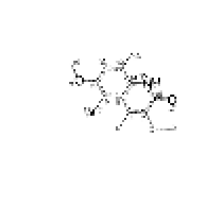 CCc1c(C)c2c(Br)c(OC)cc(C)c2[nH]c1=O